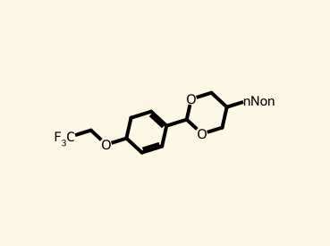 CCCCCCCCCC1COC(C2=CCC(OCC(F)(F)F)C=C2)OC1